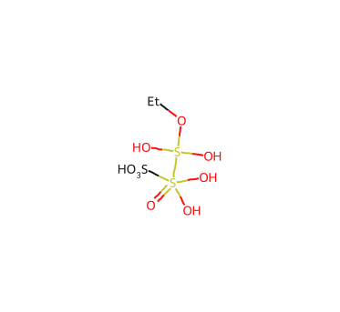 CCOS(O)(O)S(=O)(O)(O)S(=O)(=O)O